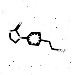 O=C(O)CCc1ccc(N2CCOC2=O)cc1